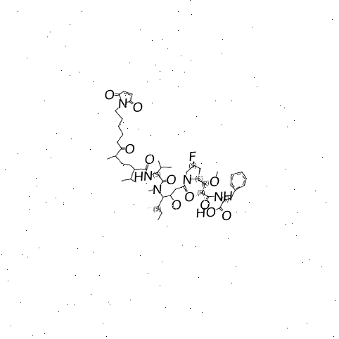 CC[C@H](C)C(C(CC(=O)N1C[C@@H](F)C[C@H]1[C@H](OC)[C@@H](C)C(=O)N[C@@H](Cc1ccccc1)C(=O)O)OC)N(C)C(=O)[C@@H](NC(=O)C(CCC(C)C(=O)CCCCCN1C(=O)C=CC1=O)C(C)C)C(C)C